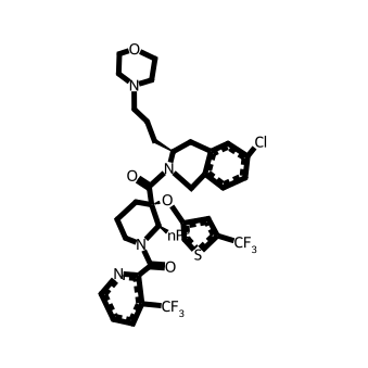 CCC[C@H]1N(C(=O)c2ncccc2C(F)(F)F)CCC[C@@]1(Oc1csc(C(F)(F)F)c1)C(=O)N1Cc2ccc(Cl)cc2C[C@@H]1CCCN1CCOCC1